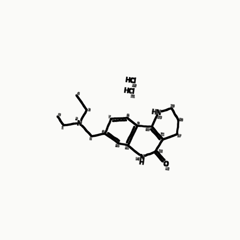 CCN(CC)Cc1ccc2c3c(c(=O)[nH]c2c1)CCCN3.Cl.Cl